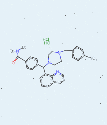 CCN(CC)C(=O)c1ccc(C(c2cccc3cccnc23)N2CCN(Cc3ccc([N+](=O)[O-])cc3)CC2)cc1.Cl.Cl